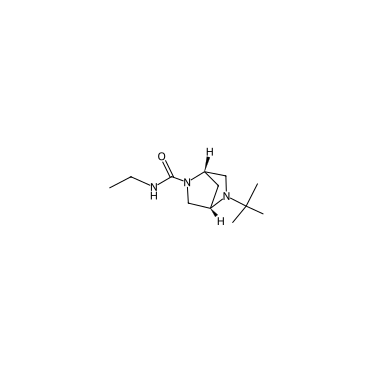 CCNC(=O)N1C[C@@H]2C[C@H]1CN2C(C)(C)C